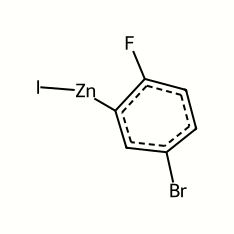 Fc1ccc(Br)c[c]1[Zn][I]